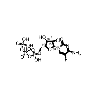 C[C@@]1(Cl)[C@H](O)[C@@H](COP(=O)(O)OP(=O)(O)OP(=O)(O)O)O[C@H]1n1cc(F)c(N)nc1=O